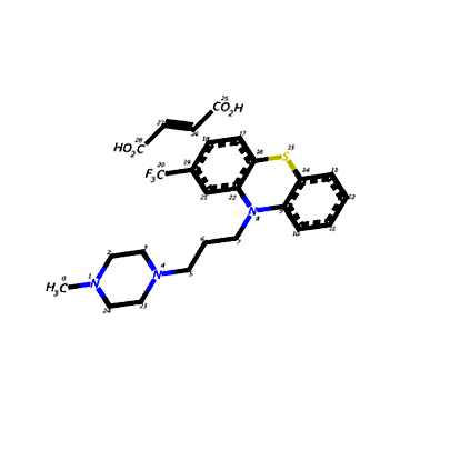 CN1CCN(CCCN2c3ccccc3Sc3ccc(C(F)(F)F)cc32)CC1.O=C(O)C=CC(=O)O